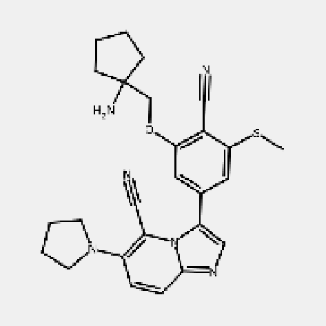 CSc1cc(-c2cnc3ccc(N4CCCC4)c(C#N)n23)cc(OCC2(N)CCCC2)c1C#N